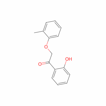 Cc1ccccc1OCC(=O)c1ccccc1O